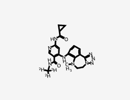 [2H]C([2H])([2H])NC(=O)c1cnc(NC(=O)C2CC2)cc1Nc1cccc2c1N(C)CCn1nnnc1-2